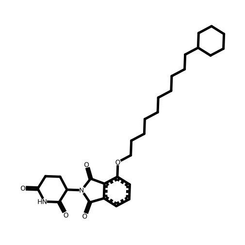 O=C1CCC(N2C(=O)c3cccc(OCCCCCCCCCCC4CCCCC4)c3C2=O)C(=O)N1